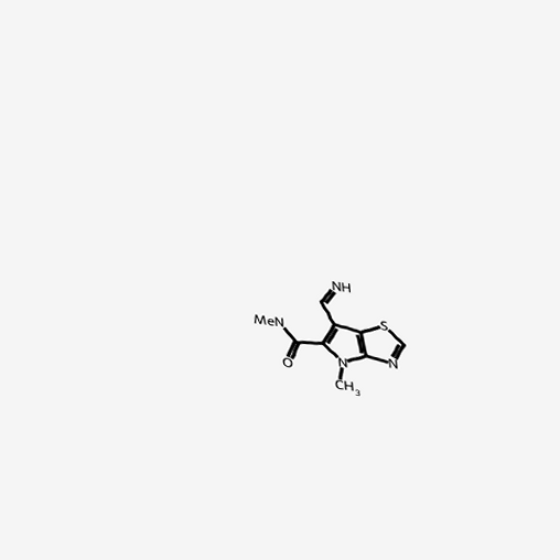 CNC(=O)c1c(C=N)c2scnc2n1C